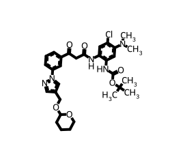 CN(C)c1cc(NC(=O)OC(C)(C)C)c(NC(=O)CC(=O)c2cccc(-n3cc(COC4CCCCO4)cn3)c2)cc1Cl